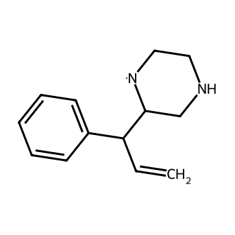 C=CC(c1ccccc1)C1CNCC[N]1